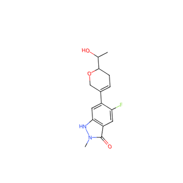 CC(O)C1CC=C(c2cc3[nH]n(C)c(=O)c3cc2F)CO1